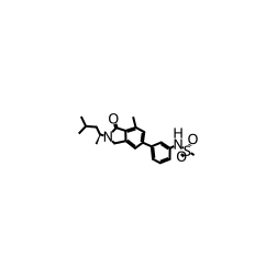 Cc1cc(-c2cccc(NS(C)(=O)=O)c2)cc2c1C(=O)N([C@@H](C)CC(C)C)C2